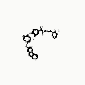 CC1CCCCN1CCCNC(=O)c1ccc(OC2CCN(Cc3ccc4c(c3)Cc3ccccc3-4)CC2)c(Cl)c1